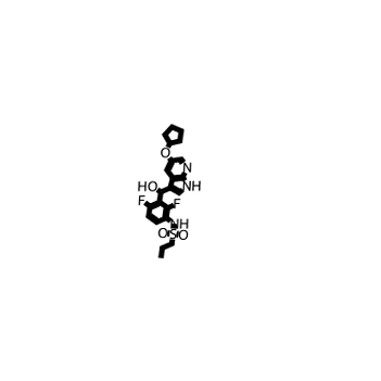 CCCS(=O)(=O)Nc1ccc(F)c(C(O)c2c[nH]c3ncc(OC4CCCC4)cc23)c1F